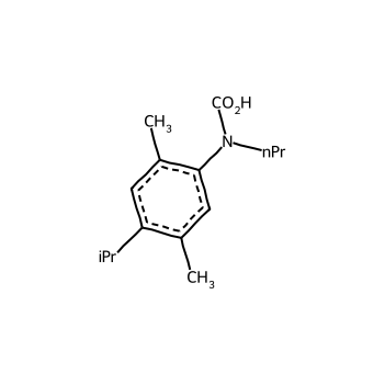 CCCN(C(=O)O)c1cc(C)c(C(C)C)cc1C